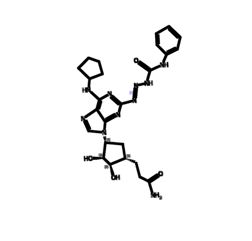 NC(=O)CC[C@H]1C[C@@H](n2cnc3c(NC4CCCC4)nc(/N=N/NC(=O)Nc4ccccc4)nc32)[C@H](O)[C@@H]1O